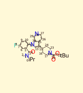 CC(C)N(C)C(=O)c1cc(F)ccc1-n1cc(C2CCN(C(=O)OC(C)(C)C)CC2)c2ccncc21